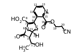 C[C@@H](O)[C@H]1C(=O)N2C(C(=O)O)=C(c3cccnc3C(=O)OCCC#N)S[C@H]12